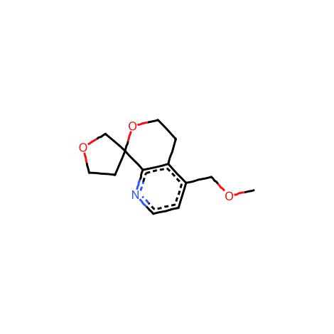 COCc1ccnc2c1CCOC21CCOC1